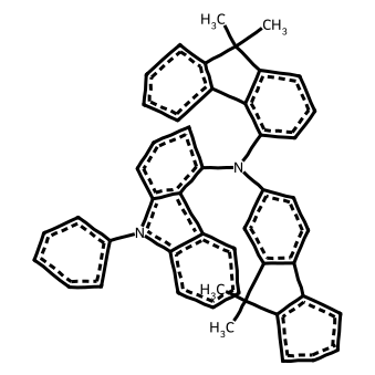 CC1(C)c2ccccc2-c2ccc(N(c3cccc4c3-c3ccccc3C4(C)C)c3cccc4c3c3ccccc3n4-c3ccccc3)cc21